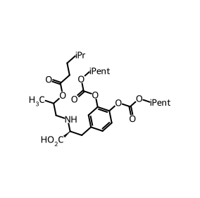 CCCC(C)OC(=O)Oc1ccc(C[C@H](NCC(C)OC(=O)CCC(C)C)C(=O)O)cc1OC(=O)OC(C)CCC